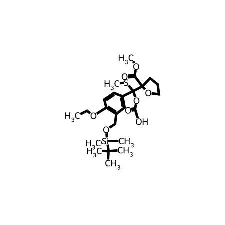 CCOc1ccc(C(OC(=O)O)(SC)C2(C(=O)OC)CCCO2)cc1CO[Si](C)(C)C(C)(C)C